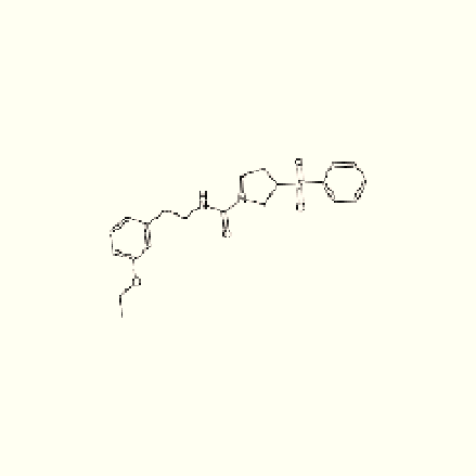 CCOc1cccc(CCNC(=O)N2CCC(S(=O)(=O)c3ccccc3)C2)c1